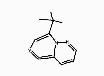 CC(C)(C)C1=CN=C=C2C=CC=NN21